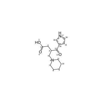 O=C(O)CC(CN1CCCCC1)C(=O)c1cc[nH]c1